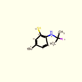 CC(C)(I)Nc1ccc(C(C)(C)C)cc1S